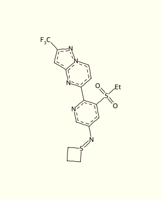 CCS(=O)(=O)c1cc(N=S2CCC2)cnc1-c1ccn2nc(C(F)(F)F)cc2n1